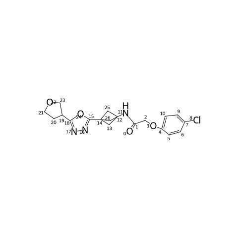 O=C(COc1ccc(Cl)cc1)NC12CC(c3nnc(C4CCOC4)o3)(C1)C2